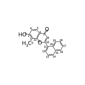 Cc1c(O)ccc2c(=O)cc(-c3cccc4ccccc34)oc12